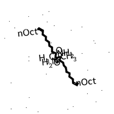 CCCCCCCC/C=C\CCCCCCCC(=O)C(C)(N)C(C)(N)C(=O)CCCCCCC/C=C\CCCCCCCC